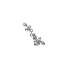 N#C/N=C(\NCc1cnc(-n2ccc3c(-c4cccc(NC(=O)CCN5CCCCC5)c4)cccc32)s1)Nc1ccncc1